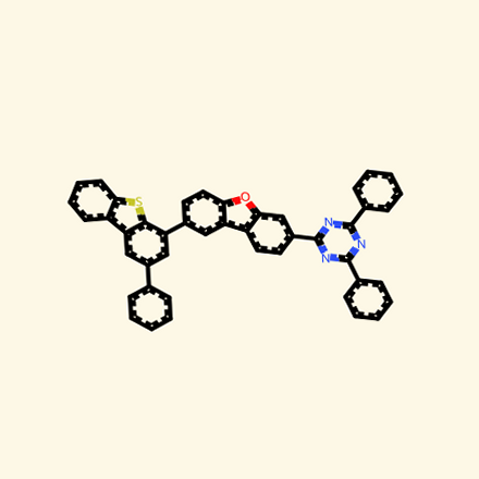 c1ccc(-c2cc(-c3ccc4oc5cc(-c6nc(-c7ccccc7)nc(-c7ccccc7)n6)ccc5c4c3)c3sc4ccccc4c3c2)cc1